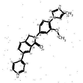 COc1cc(N2Cc3ccc(-c4ccncc4)cc3C2=O)ccc1-n1cnc(C)c1